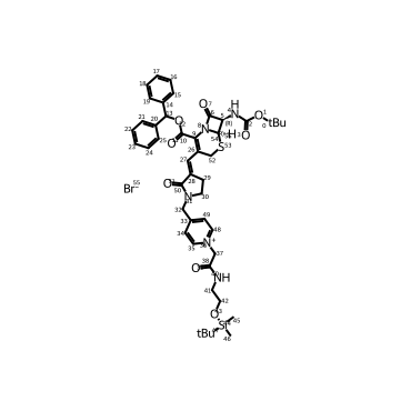 CC(C)(C)OC(=O)N[C@@H]1C(=O)N2C(C(=O)OC(c3ccccc3)c3ccccc3)=C(C=C3CCN(Cc4cc[n+](CC(=O)NCCO[Si](C)(C)C(C)(C)C)cc4)C3=O)CS[C@H]12.[Br-]